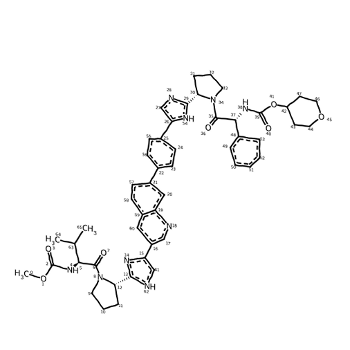 COC(=O)N[C@H](C(=O)N1CCC[C@H]1c1nc(-c2cnc3cc(-c4ccc(-c5cnc([C@@H]6CCCN6C(=O)[C@H](NC(=O)OC6CCOCC6)c6ccccc6)[nH]5)cc4)ccc3c2)c[nH]1)C(C)C